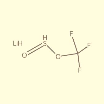 O=[SH]OC(F)(F)F.[LiH]